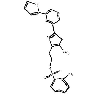 Cc1ccccc1S(=O)(=O)OCCc1nc(-c2cccc(-c3cccs3)c2)oc1C